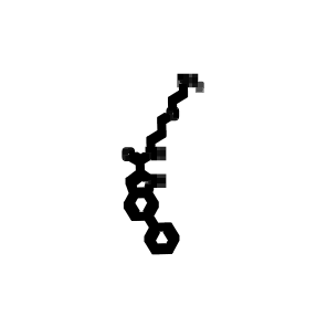 NCCOCCCNC(=O)c1cc2ccc(-c3ccccc3)cc2[nH]1